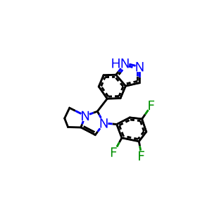 Fc1cc(F)c(F)c(N2C=C3CCCN3C2c2ccc3[nH]ncc3c2)c1